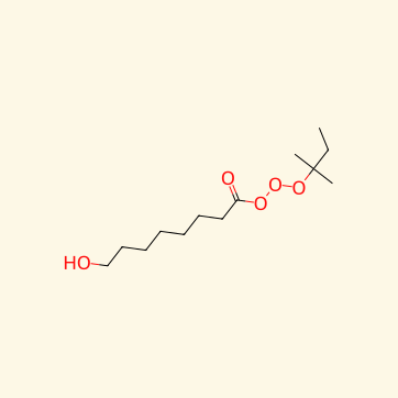 CCC(C)(C)OOOC(=O)CCCCCCCO